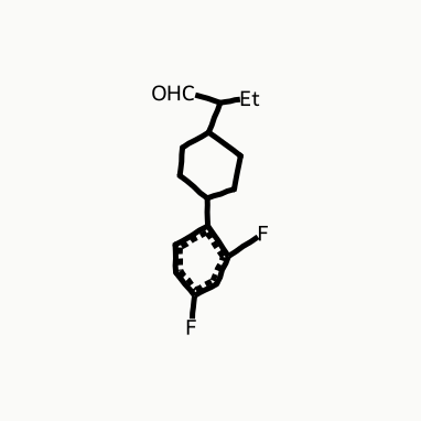 CCC(C=O)C1CCC(c2ccc(F)cc2F)CC1